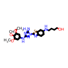 COc1cc(Nc2nc(N)n(-c3nc4ccc(NCCCCO)cc4s3)n2)cc(OC)c1OC